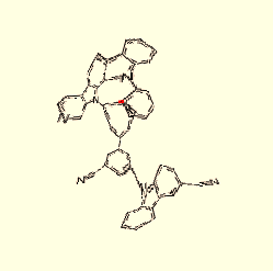 N#Cc1cc(-c2cccc(-n3c4cnccc4c4ccc5c6ccccc6n(-c6ccccc6)c5c43)c2)cc(-n2c3ccccc3c3cc(C#N)ccc32)c1